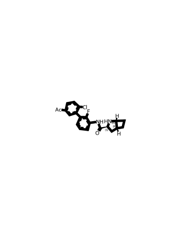 CC(=O)c1ccc(Cl)c(-c2cccc(NC(=O)[C@@H]3C[C@H]4CC[C@H]4N3)c2F)c1